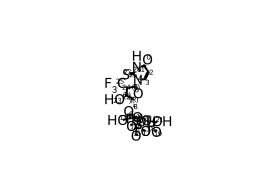 O=c1ccn([C@@H]2O[C@H](COP(=O)(O)OP(=O)(O)OP(=O)(O)O)[C@H](O)C2C(F)(F)F)c(=S)[nH]1